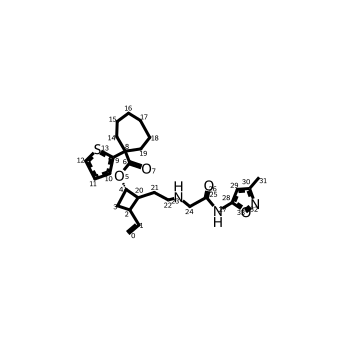 C=CC1C[C@H](OC(=O)C2(c3cccs3)CCCCCC2)C1CCNCC(=O)Nc1cc(C)no1